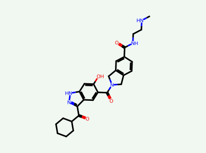 CNCCNC(=O)c1ccc2c(c1)CN(C(=O)c1cc3c(C(=O)C4CCCCC4)n[nH]c3cc1O)C2